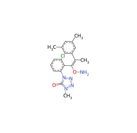 C/C(=C(\ON)c1c(Cl)cccc1-n1nnn(C)c1=O)c1cc(C)cc(C)c1